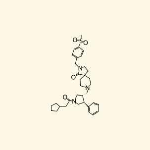 CS(=O)(=O)c1ccc(CN2CCC3(CCN(C[C@H]4CN(C(=O)CC5CCCC5)C[C@@H]4c4ccccc4)CC3)C2=O)cc1